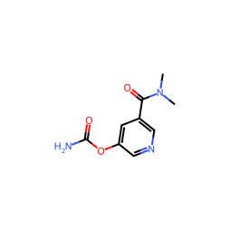 CN(C)C(=O)c1cncc(OC(N)=O)c1